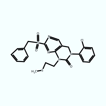 CSCCN1C(=O)N(c2ccccc2Cl)Cc2cnc(S(=O)(=O)Cc3ccccc3)nc21